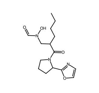 CCCCC(CN(O)C=O)C(=O)N1CCCC1c1ncco1